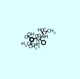 CC(C)C[C@@H](C=O)NC(=O)[C@@H](NC(=O)c1cc(C(=O)O)cc(C(C)(C)C)c1)C1CCCCC1